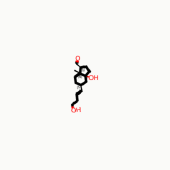 C[C@]12CC[C@H](C=CCCO)C[C@@]1(O)CC[C@@H]2C=O